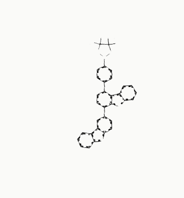 CC1(C)OB(c2ccc(-c3ccc(-c4ccc5oc6ccccc6c5c4)c4oc5ccccc5c34)cc2)OC1(C)C